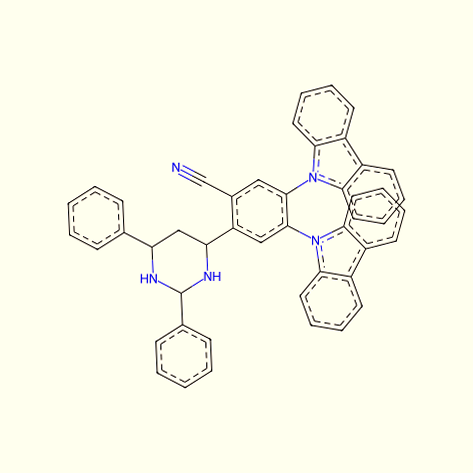 N#Cc1cc(-n2c3ccccc3c3ccccc32)c(-n2c3ccccc3c3ccccc32)cc1C1CC(c2ccccc2)NC(c2ccccc2)N1